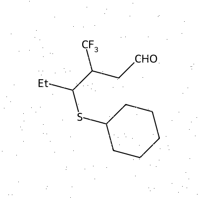 [CH2]CC(SC1CCCCC1)C(CC=O)C(F)(F)F